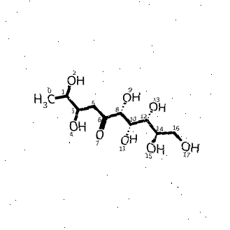 CC(O)C(O)CC(=O)[C@H](O)[C@@H](O)[C@H](O)[C@H](O)CO